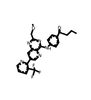 CCCC(=O)c1ccc(Nc2nc(COC)nc3cc(-c4ncccc4C(F)(F)F)cnc23)cc1